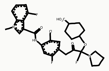 Cn1cc(C(=O)Nc2cc(F)c(CC(=O)C(F)(OC3CCC(C(=O)O)CC3)N3CCCC3)cc2Cl)c2c(F)cccc21